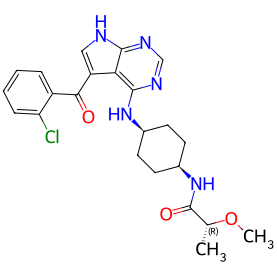 CO[C@H](C)C(=O)N[C@H]1CC[C@@H](Nc2ncnc3[nH]cc(C(=O)c4ccccc4Cl)c23)CC1